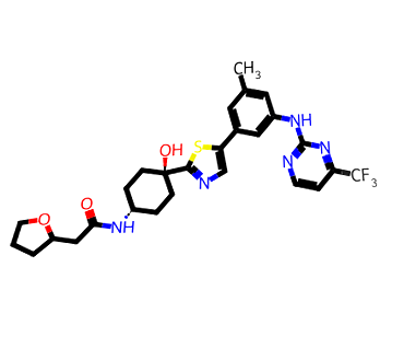 Cc1cc(Nc2nccc(C(F)(F)F)n2)cc(-c2cnc([C@]3(O)CC[C@H](NC(=O)CC4CCCO4)CC3)s2)c1